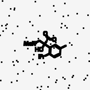 CNCC(O)(c1cc(C)ccc1C(C)C)P(=O)=O